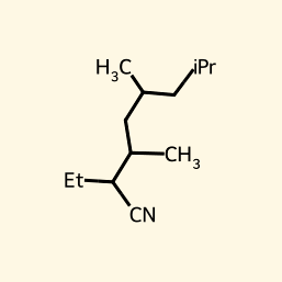 CCC(C#N)C(C)CC(C)CC(C)C